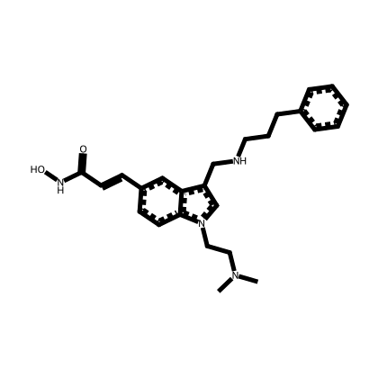 CN(C)CCn1cc(CNCCCc2ccccc2)c2cc(/C=C/C(=O)NO)ccc21